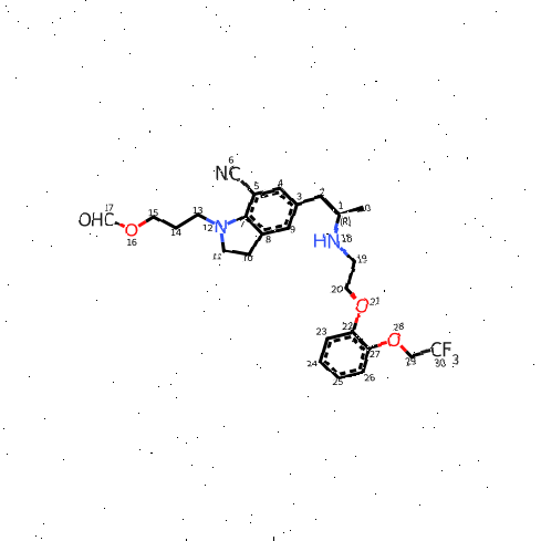 C[C@H](Cc1cc(C#N)c2c(c1)CCN2CCCOC=O)NCCOc1ccccc1OCC(F)(F)F